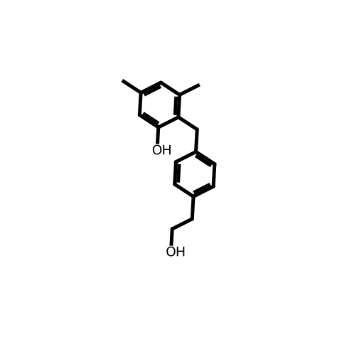 Cc1cc(C)c(Cc2ccc(CCO)cc2)c(O)c1